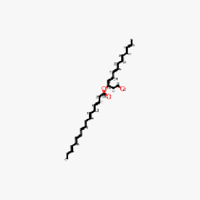 CCCCCCCCCCCCCCCCC(=O)OC(CC=O)CCCCCCCCCCC